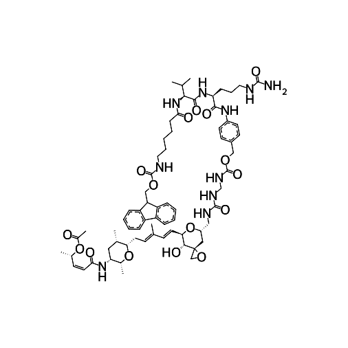 CC(=O)O[C@@H](C)/C=C\C(=O)N[C@@H]1C[C@H](C)[C@H](C/C=C(C)/C=C/[C@H]2O[C@H](CNC(=O)NCNC(=O)OCc3ccc(NC(=O)[C@H](CCCNC(N)=O)NC(=O)[C@@H](NC(=O)CCCCCNC(=O)OCC4c5ccccc5-c5ccccc54)C(C)C)cc3)C[C@@]3(CO3)[C@@H]2O)O[C@@H]1C